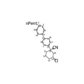 CCCCCc1ccc(-c2ccc(C3(C#N)CCCC(Cl)C3)cc2)cc1